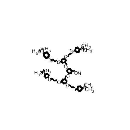 CN(C)c1ccc([Te]CCCOc2cc(COc3cc(CO)cc(OCc4cc(OCCC[Te]c5ccc(N(C)C)cc5)cc(OCCC[Te]c5ccc(N(C)C)cc5)c4)c3)cc(OCCC[Te]c3ccc(N(C)C)cc3)c2)cc1